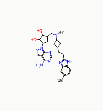 CC(C)N(CC1CC(n2ncc3c(N)ncnc32)C(O)C1O)C1CC(CCc2nc3cc(C(C)(C)C)ccc3[nH]2)C1